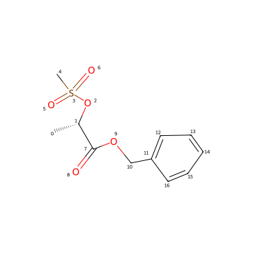 C[C@H](OS(C)(=O)=O)C(=O)OCc1ccccc1